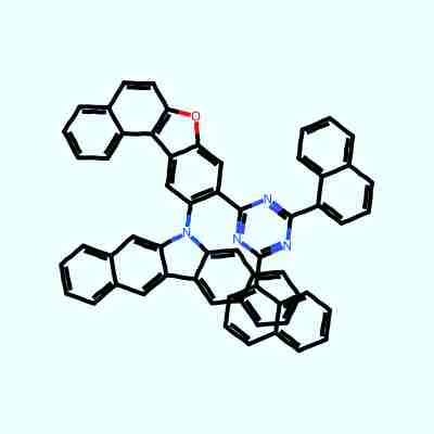 c1ccc2cc3c(cc2c1)c1cc2ccccc2cc1n3-c1cc2c(cc1-c1nc(-c3cccc4ccccc34)nc(-c3cccc4ccccc34)n1)oc1ccc3ccccc3c12